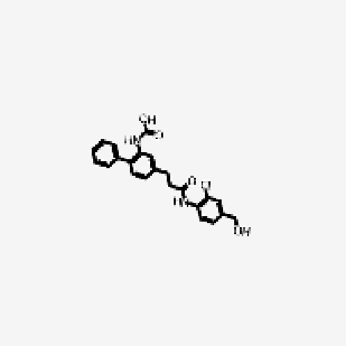 O=C(O)Nc1cc(CCC(=O)Nc2ccc(CO)cc2Cl)ccc1-c1ccccc1